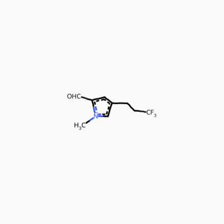 Cn1cc(CCC(F)(F)F)cc1C=O